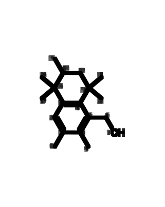 Cc1cc2c(c(CO)c1C)C(C)(C)CC(C)C2(C)C